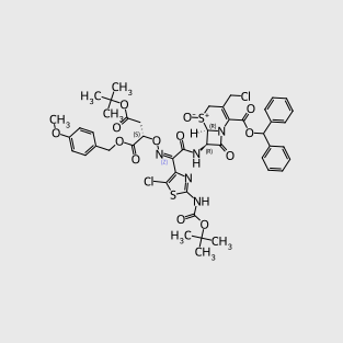 COc1ccc(COC(=O)[C@H](CC(=O)OC(C)(C)C)O/N=C(\C(=O)N[C@@H]2C(=O)N3C(C(=O)OC(c4ccccc4)c4ccccc4)=C(CCl)C[S+]([O-])[C@H]23)c2nc(NC(=O)OC(C)(C)C)sc2Cl)cc1